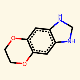 c1c2c(cc3c1OCCO3)NCN2